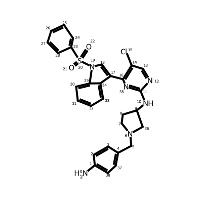 Nc1ccc(CN2CCC(Nc3ncc(Cl)c(-c4cn(S(=O)(=O)c5ccccc5)c5ccccc45)n3)C2)cc1